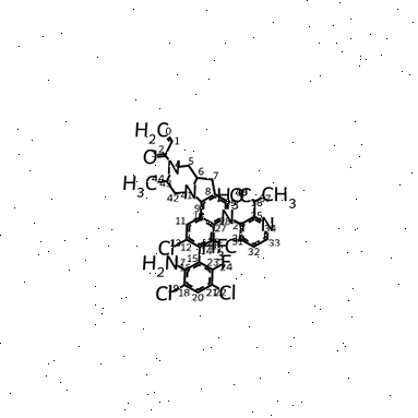 C=CC(=O)N1CC2Cc3c(c4cc(Cl)c(-c5c(N)c(Cl)cc(Cl)c5F)c(F)c4n(-c4c(C)ccnc4C(C)C)c3=O)N2CC1C